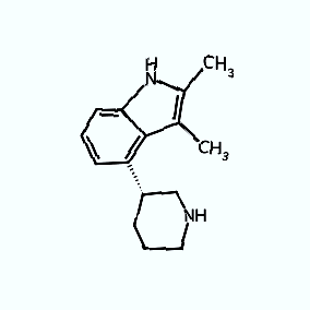 Cc1[nH]c2cccc([C@H]3CCCNC3)c2c1C